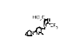 Cc1nc(N2CC3CC3C2)ccc1Cn1cc(C(=O)O)nc1C(F)(F)F